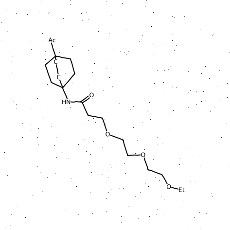 CCOCCOCCOCCC(=O)NC12CCC(C(C)=O)(CC1)CC2